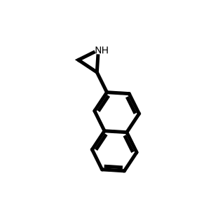 c1ccc2cc(C3CN3)ccc2c1